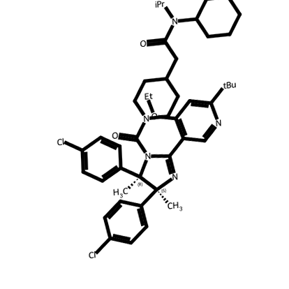 CCOc1cc(C(C)(C)C)ncc1C1=N[C@@](C)(c2ccc(Cl)cc2)[C@@](C)(c2ccc(Cl)cc2)N1C(=O)N1CCC(CC(=O)N(C(C)C)C2CCCCC2)CC1